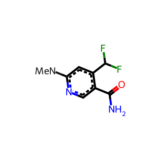 CNc1cc(C(F)F)c(C(N)=O)cn1